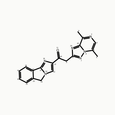 Cc1ncc(C)n2nc(CC(=O)c3cn4c(n3)-c3ccccc3C4)nc12